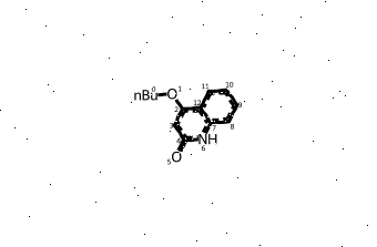 CCCCOc1cc(=O)[nH]c2ccccc12